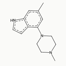 Cc1cc(N2CCN(C)CC2)c2cc[nH]c2c1